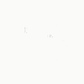 C=CS(=O)(=O)N[C@@H](Cc1c[nH]c2ccccc12)C(=O)OC